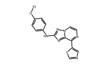 CCOc1ccc(Nc2nc3c(-c4cncs4)nccn3n2)cc1